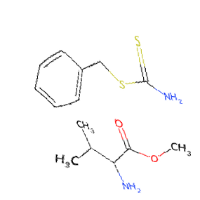 COC(=O)C(N)C(C)C.NC(=S)SCc1ccccc1